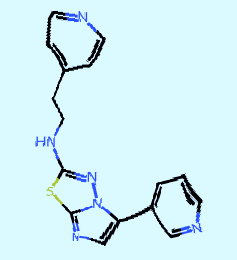 c1cncc(-c2cnc3sc(NCCc4ccncc4)nn23)c1